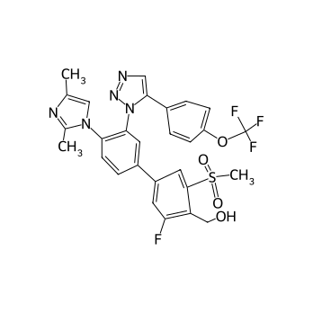 Cc1cn(-c2ccc(-c3cc(F)c(CO)c(S(C)(=O)=O)c3)cc2-n2nncc2-c2ccc(OC(F)(F)F)cc2)c(C)n1